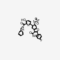 CNC(=O)c1c(-c2ccc(F)cc2)oc2cc(N(C)S(C)(=O)=O)c(-c3ccc(O)c(C(=O)NCc4ccccc4)n3)cc12